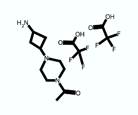 CC(=O)N1CCN(C2CC(N)C2)CC1.O=C(O)C(F)(F)F.O=C(O)C(F)(F)F